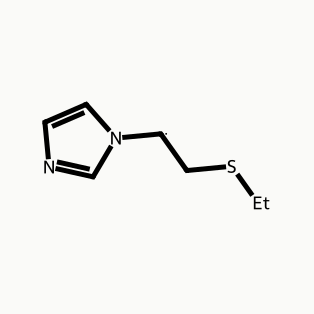 CCSC[CH]n1ccnc1